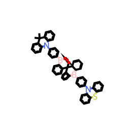 CC1(C)c2ccccc2N(c2ccc(B3c4ccccc4C4(c5ccccc5B(c5ccc(N6c7ccccc7Sc7ccccc76)cc5)C5C=CC=CC54)C4C=CC=CC34)cc2)c2ccccc21